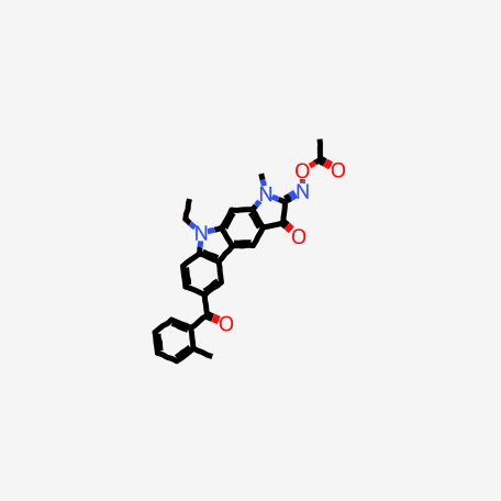 CCn1c2ccc(C(=O)c3ccccc3C)cc2c2cc3c(cc21)N(C)/C(=N\OC(C)=O)C3=O